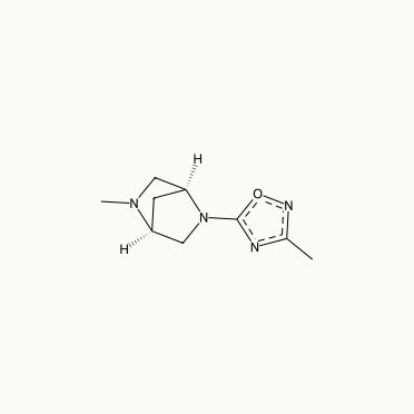 Cc1noc(N2C[C@@H]3C[C@H]2CN3C)n1